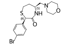 O=C1N[C@H](CN2CCOCC2)CCS[C@@H]1c1ccc(Br)cc1